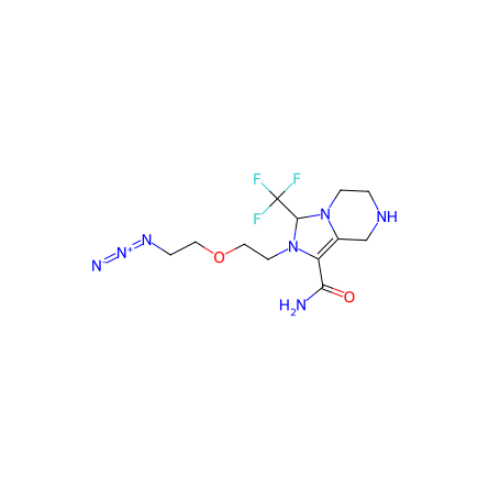 [N-]=[N+]=NCCOCCN1C(C(N)=O)=C2CNCCN2C1C(F)(F)F